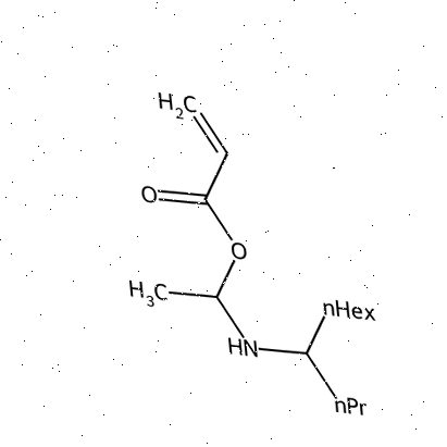 C=CC(=O)OC(C)NC(CCC)CCCCCC